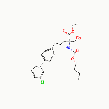 CCCCOC(=O)NC(CO)(CCCc1ccc(-c2cccc(Cl)c2)cc1)C(=O)OCC